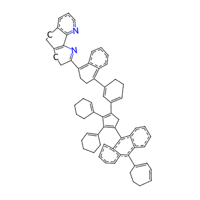 C1=CCCCC(c2c3ccccc3c(C3=C(C4=CCCCC4)C(C4=CCCCC4)=C(C4=CCCC(C5=c6ccccc6=C(C6=NC7=C(CC6)CCc6cccnc67)CC5)=C4)C3)c3ccccc23)=C1